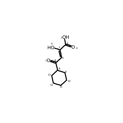 O=C(O)C(O)=CC(=O)C1CCCCC1